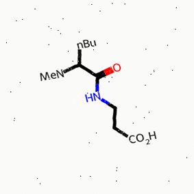 [13CH3]CCCC([15NH][13CH3])C(=O)NCCC(=O)O